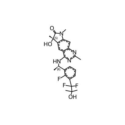 Cc1nc(N[C@H](C)c2cccc(C(F)(F)C(C)(C)O)c2F)c2cc3c(cc2n1)N(C)C(=O)[C@@]3(C)O